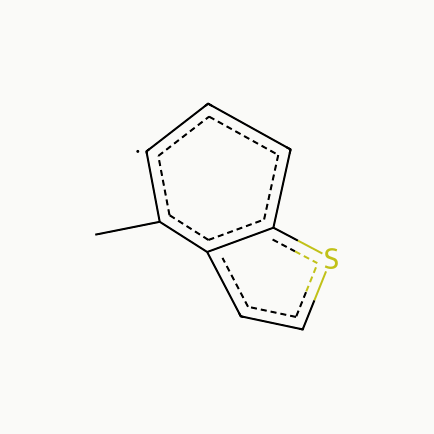 Cc1[c]ccc2sccc12